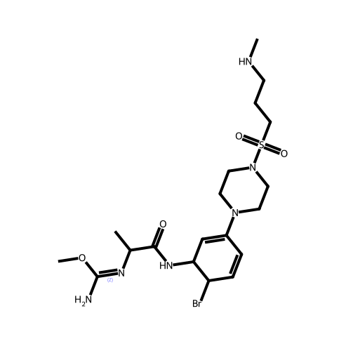 CNCCCS(=O)(=O)N1CCN(C2=CC(NC(=O)C(C)/N=C(/N)OC)C(Br)C=C2)CC1